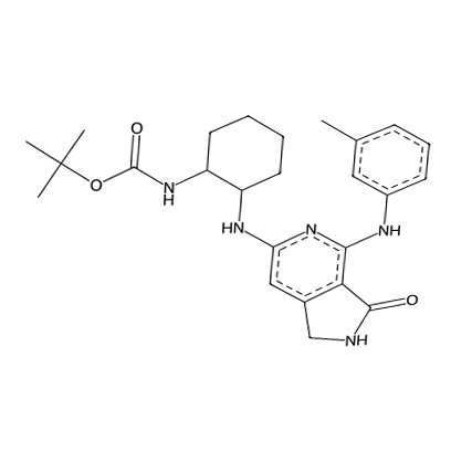 Cc1cccc(Nc2nc(NC3CCCCC3NC(=O)OC(C)(C)C)cc3c2C(=O)NC3)c1